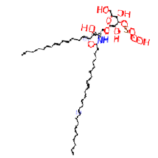 CCCCCCCC/C=C/CCCCCCCCCCCCCC(=O)N[C@@H](COC1OC(CO)C(O)C(OSOOO)C1O)[C@H](O)/C=C/CCCCCCCCCCCCC